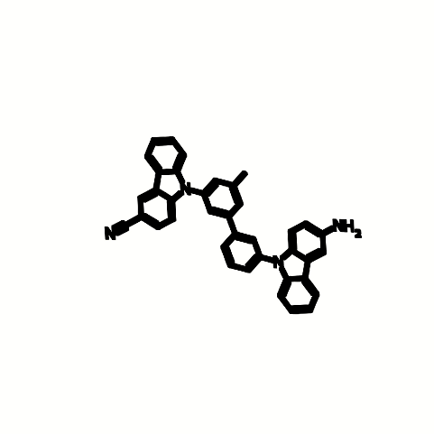 Cc1cc(-c2cccc(-n3c4ccccc4c4cc(N)ccc43)c2)cc(-n2c3ccccc3c3cc(C#N)ccc32)c1